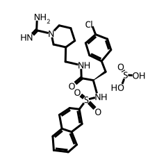 N=C(N)N1CCCC(CNC(=O)[C@@H](Cc2ccc(Cl)cc2)NS(=O)(=O)c2ccc3ccccc3c2)C1.O=S(O)O